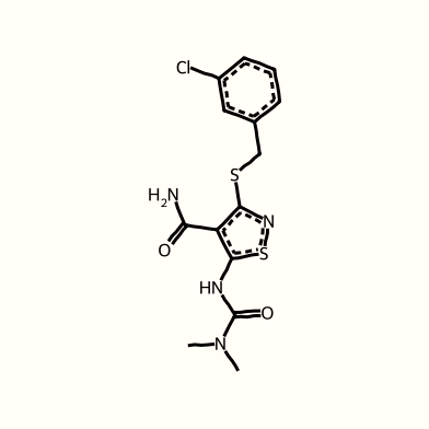 CN(C)C(=O)Nc1snc(SCc2cccc(Cl)c2)c1C(N)=O